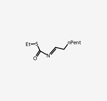 CCCCCCC=NC(=O)SCC